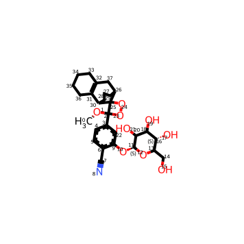 COC1(c2ccc(C#N)c(O[C@@H]3OC(CO)[C@@H](O)C(O)C3O)c2)OOC12C1CCCC2C2=C(CCCC2)C1